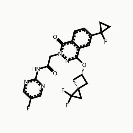 O=C(Cn1nc(O[C@H]2C[C@@]3(CC3(F)F)C2)c2cc(C3(F)CC3)ccc2c1=O)Nc1ncc(F)cn1